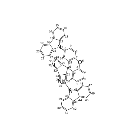 c1ccc2c(c1)Oc1ccc(-n3c4ccccc4c4ccccc43)cc1C21c2cccnc2-c2ncc(-n3c4ccccc4c4ccccc43)cc21